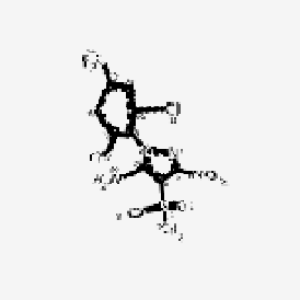 CS(=O)(=O)c1c([N+](=O)[O-])nn(-c2c(Cl)cc(C(F)(F)F)cc2Cl)c1N